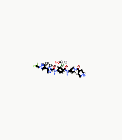 Cn1c(-c2cn(CC(F)F)nc2C(F)(F)F)cnc1C(=O)Nc1ccc(C(=O)NC2C3CN(C(=O)C4CCNCC4)CC32)c(Cl)c1.O=CO